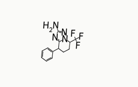 Nc1nc2n(n1)C(C(F)(F)F)CCC2c1ccccc1